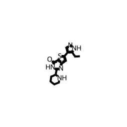 CCc1[nH]ncc1-c1cc2nc(C3CCCCN3)[nH]c(=O)c2s1